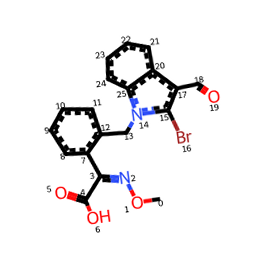 CON=C(C(=O)O)c1ccccc1Cn1c(Br)c(C=O)c2ccccc21